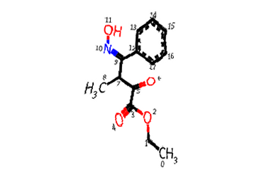 CCOC(=O)C(=O)C(C)/C(=N/O)c1ccccc1